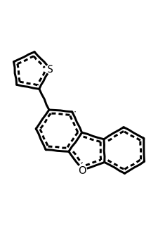 [c]1c(-c2cccs2)ccc2oc3ccccc3c12